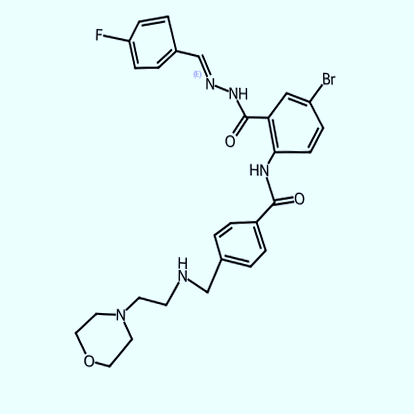 O=C(Nc1ccc(Br)cc1C(=O)N/N=C/c1ccc(F)cc1)c1ccc(CNCCN2CCOCC2)cc1